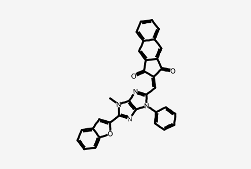 Cn1c(-c2cc3ccccc3o2)nc2c1nc(C=C1C(=O)c3cc4ccccc4cc3C1=O)n2-c1ccccc1